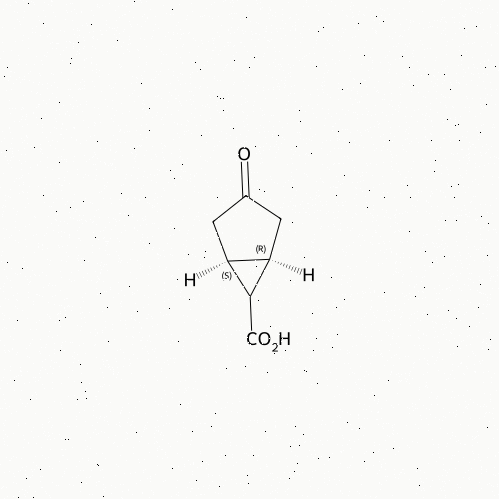 O=C1C[C@@H]2C(C(=O)O)[C@@H]2C1